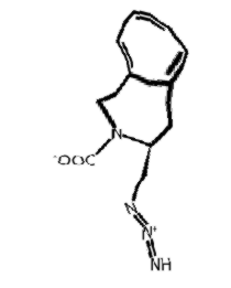 N=[N+]=NC[C@@H]1Cc2ccccc2CN1C(=O)[O-]